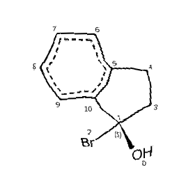 O[C@]1(Br)CCc2ccccc21